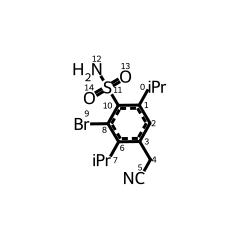 CC(C)c1cc(CC#N)c(C(C)C)c(Br)c1S(N)(=O)=O